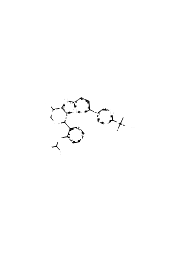 CC(C)(O)c1ncc(-c2ccc3nc4c(n3n2)C(c2ccccc2OC(F)F)OCC4O)cn1